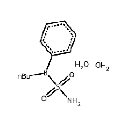 CCCCB(c1ccccc1)S(N)(=O)=O.O.O